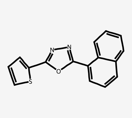 c1csc(-c2nnc(-c3cccc4ccccc34)o2)c1